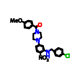 COc1ccc(C(=O)N2CCN(c3ccc([N+](=O)[O-])c(NCc4ccc(Cl)cc4)c3)CC2)cc1